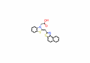 O=C(O)CN1/C(=C/c2nc3c(ccc4ccccc43)s2)Sc2ccccc21